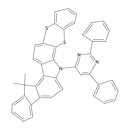 CC1(C)c2ccccc2-c2ccc3c(c21)c1ccc2c(c1n3-c1cc(-c3ccccc3)nc(-c3ccccc3)n1)Sc1ccccc1S2